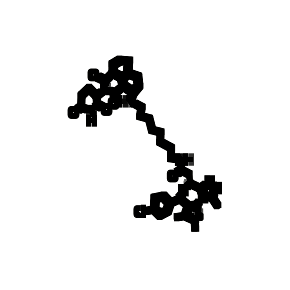 Cc1sc2c(c1C)C(c1ccc(Cl)cc1)=N[C@@H](CC(=O)NCCCCCCCCNc1ccc3cccc4c3c1C(=O)N(C1CCC(=O)NC1=O)C4=O)c1nnc(C)n1-2